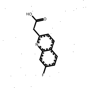 O=C(O)Cc1ccc2ccc(F)cc2n1